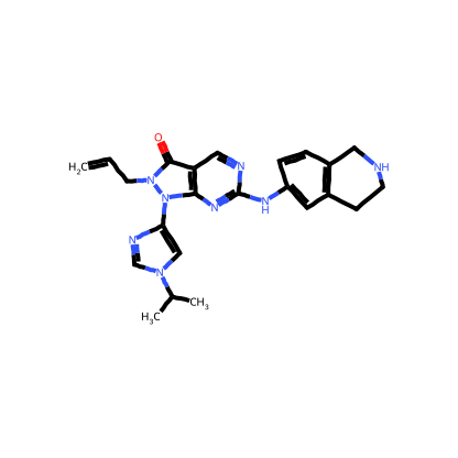 C=CCn1c(=O)c2cnc(Nc3ccc4c(c3)CCNC4)nc2n1-c1cn(C(C)C)cn1